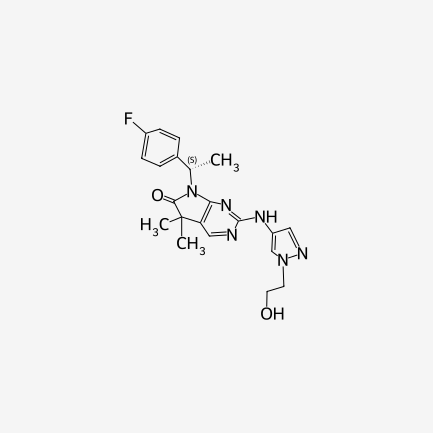 C[C@@H](c1ccc(F)cc1)N1C(=O)C(C)(C)c2cnc(Nc3cnn(CCO)c3)nc21